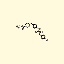 COC(=O)N1CCN(Cc2ccc(NC(=O)NCc3ccc(Cl)cc3)cc2)CC1